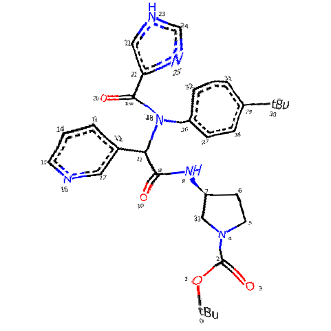 CC(C)(C)OC(=O)N1CC[C@H](NC(=O)C(c2cccnc2)N(C(=O)c2c[nH]cn2)c2ccc(C(C)(C)C)cc2)C1